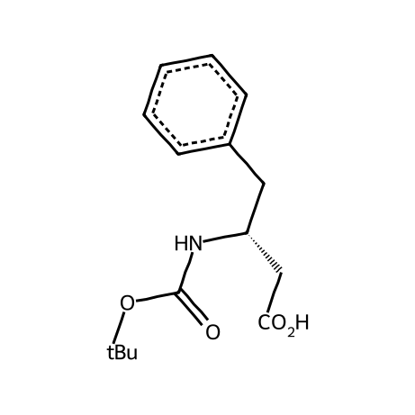 CC(C)(C)OC(=O)N[C@@H](CC(=O)O)Cc1ccccc1